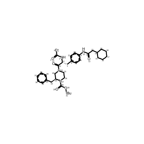 CCC(=O)N[C@H](Cc1ccc(NC(=O)CC2CCCCC2)cc1)C(=O)N1CCN(C(=O)OC(C)(C)C)[C@@H](Cc2ccccc2)C1